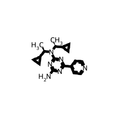 C[C@H](C1CC1)N(c1nc(N)nc(-c2ccncc2)n1)[C@H](C)C1CC1